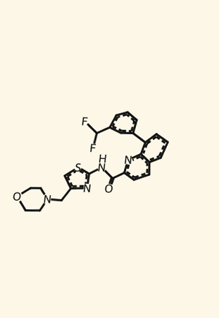 O=C(Nc1nc(CN2CCOCC2)cs1)c1ccc2cccc(-c3cccc(C(F)F)c3)c2n1